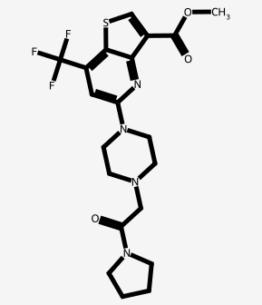 COC(=O)c1csc2c(C(F)(F)F)cc(N3CCN(CC(=O)N4CCCC4)CC3)nc12